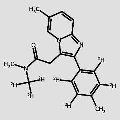 [2H]c1c([2H])c(-c2nc3ccc(C)cn3c2CC(=O)N(C)C([2H])([2H])[2H])c([2H])c([2H])c1C